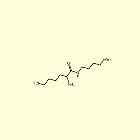 CCCCCCCCCCCCNC(=O)C(N)CCCCN